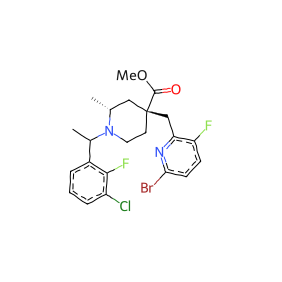 COC(=O)[C@]1(Cc2nc(Br)ccc2F)CCN(C(C)c2cccc(Cl)c2F)[C@H](C)C1